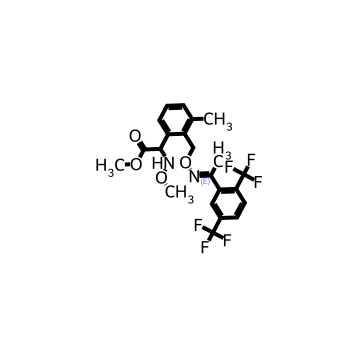 CONC(C(=O)OC)c1cccc(C)c1CO/N=C(\C)c1cc(C(F)(F)F)ccc1C(F)(F)F